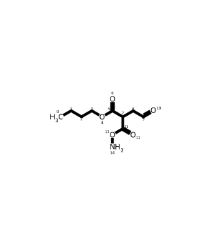 CCCCOC(=O)C(CC=O)C(=O)ON